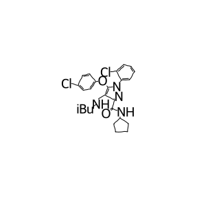 CCC(C)NCc1c(C(=O)NC2CCCC2)nn(-c2ccccc2Cl)c1Oc1ccc(Cl)cc1